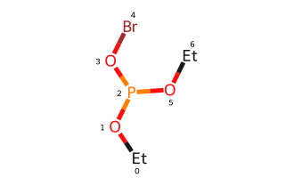 CCOP(OBr)OCC